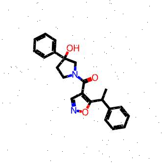 CC(c1ccccc1)c1oncc1C(=O)N1CCC(O)(c2ccccc2)C1